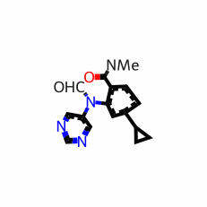 CNC(=O)c1ccc(C2CC2)cc1N(C=O)c1cncnc1